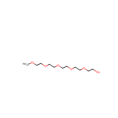 O=S(=O)(O)OCCOCCOCCOCCOCCO